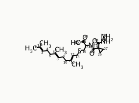 CC(C)=CCC/C(C)=C/CC/C(C)=C/CSCC(NC(=O)C1(C(=O)NN)CC1)C(=O)O